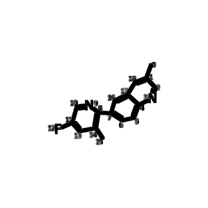 Cc1cnc2ccc(-c3ncc(F)cc3C)cc2c1